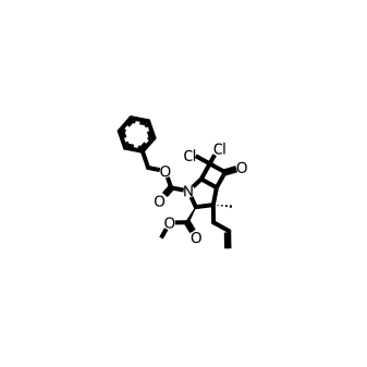 C=CC[C@]1(C)C2C(=O)C(Cl)(Cl)C2N(C(=O)OCc2ccccc2)[C@@H]1C(=O)OC